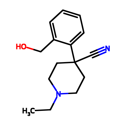 CCN1CCC(C#N)(c2ccccc2CO)CC1